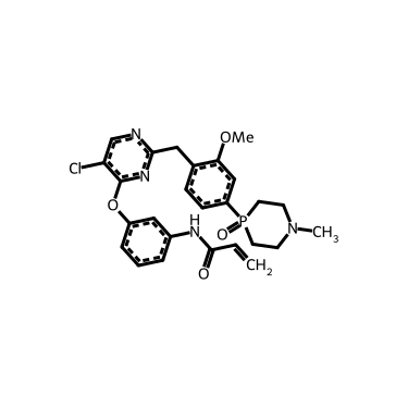 C=CC(=O)Nc1cccc(Oc2nc(Cc3ccc(P4(=O)CCN(C)CC4)cc3OC)ncc2Cl)c1